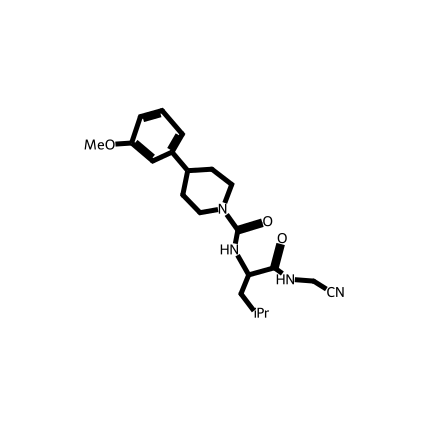 COc1cccc(C2CCN(C(=O)NC(CC(C)C)C(=O)NCC#N)CC2)c1